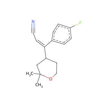 CC1(C)CC(/C(=C/C#N)c2ccc(F)cc2)CCO1